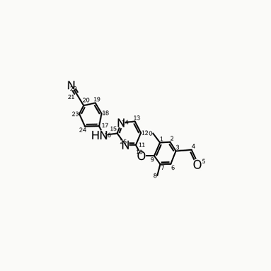 Cc1cc(C=O)cc(C)c1Oc1ccnc(Nc2ccc(C#N)cc2)n1